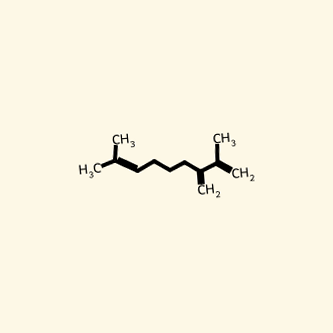 C=C(C)C(=C)CCCC=C(C)C